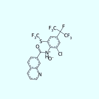 O=C(c1ccc2cccnc2c1)[NH+]([O-])c1c(Cl)cc(C(F)(C(F)(F)F)C(F)(F)F)cc1SC(F)(F)F